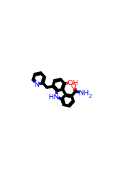 NC(=O)c1cccc2[nH]c3c(Cc4ccccn4)ccc(O)c3c12